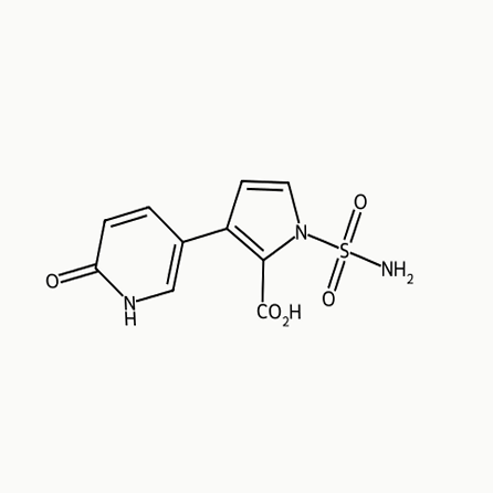 NS(=O)(=O)n1ccc(-c2ccc(=O)[nH]c2)c1C(=O)O